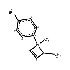 CC1C=C[N+]1([O-])c1ccc(C(C)(C)C)cc1